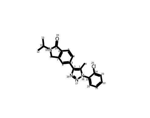 Cc1c(-c2ccc3c(c2)CN(C(C)C)C3=O)nnn1-c1ccccc1Cl